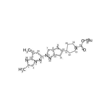 Cc1cn2nc(-n3cc4sc(C5CCN(C(=O)OC(C)(C)C)CC5)cc4n3)cc(C)c2n1